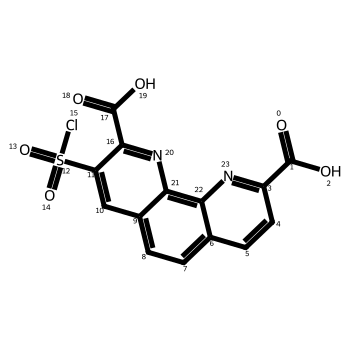 O=C(O)c1ccc2ccc3cc(S(=O)(=O)Cl)c(C(=O)O)nc3c2n1